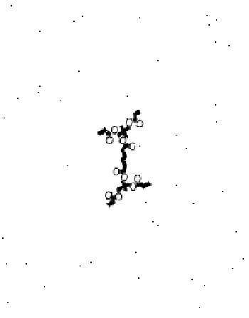 C=CC(=O)OCC(C)(COC(=O)C=C)COC(=O)C/C=C/CC(=O)OCC(C)(COC(=O)C=C)COC(=O)C=C